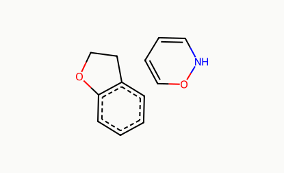 C1=CNOC=C1.c1ccc2c(c1)CCO2